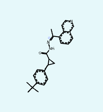 C/C(=N/NC(=O)C1CC1c1ccc(C(C)(C)C)cc1)c1cccc2cnccc12